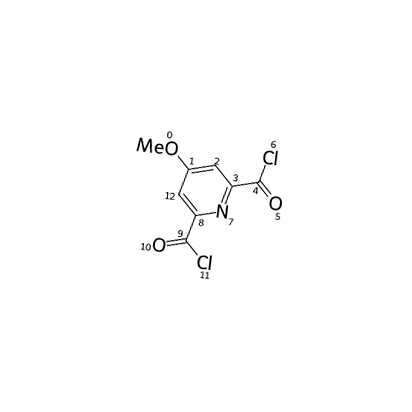 COc1cc(C(=O)Cl)nc(C(=O)Cl)c1